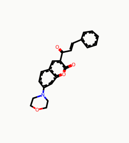 O=C(/C=C/c1ccccc1)c1cc2ccc(N3CCOCC3)cc2oc1=O